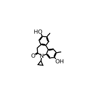 Cc1cc2c(cc1O)CC(=O)N(C1CC1)c1cc(O)c(C)cc1-2